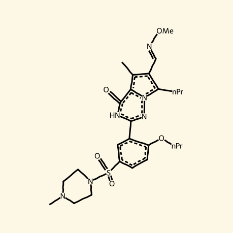 CCCOc1ccc(S(=O)(=O)N2CCN(C)CC2)cc1-c1nn2c(CCC)c(C=NOC)c(C)c2c(=O)[nH]1